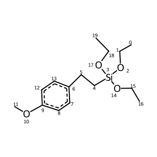 CCO[Si](CCc1ccc(OC)cc1)(OCC)OCC